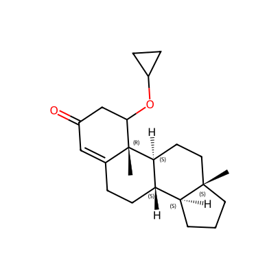 C[C@@]12CCC[C@H]1[C@@H]1CCC3=CC(=O)CC(OC4CC4)[C@]3(C)[C@H]1CC2